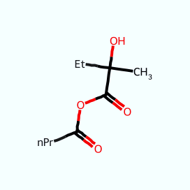 CCCC(=O)OC(=O)C(C)(O)CC